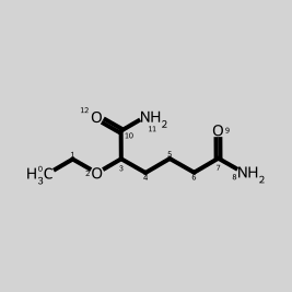 CCOC(CCCC(N)=O)C(N)=O